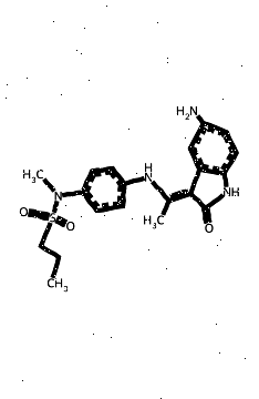 CCCS(=O)(=O)N(C)c1ccc(NC(C)=C2C(=O)Nc3ccc(N)cc32)cc1